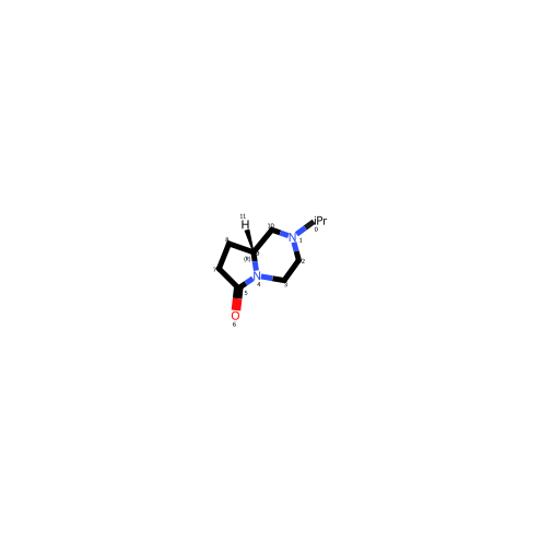 CC(C)N1CCN2C(=O)CC[C@@H]2C1